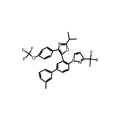 Cc1cccc(-c2ccc(-n3ccc(C(F)(F)F)n3)c(-c3oc(C(C)C)nc3-c3ccc(OC(F)(F)F)cc3)c2)c1